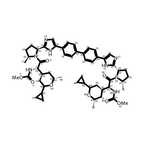 COC(=O)N[C@H](C(=O)N1[C@@H](C)CC[C@H]1c1ncc(-c2ccc(-c3ccc(-c4cnc([C@@H]5CC[C@H](C)N5C(=O)[C@@H](NC(=O)OC)[C@@H]5CC(C6CC6)O[C@@H](C)C5)[nH]4)cc3)cc2)[nH]1)[C@@H]1CC(C2CC2)O[C@@H](C)C1